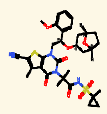 COc1ccccc1[C@H](Cn1c(=O)n(C(C)(C)C(=O)NS(=O)(=O)C2(C)CC2)c(=O)c2c(C)c(C#N)sc21)O[C@@H]1C[C@H]2CC[C@@H](C1)O2